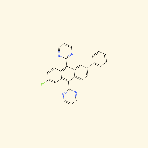 Fc1ccc2c(-c3ncccn3)c3cc(-c4ccccc4)ccc3c(-c3ncccn3)c2c1